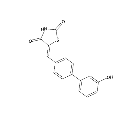 O=C1NC(=O)C(=Cc2ccc(-c3cccc(O)c3)cc2)S1